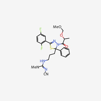 CNC(=NC#N)NCCCC1(c2ccccc2)SC(c2cc(F)ccc2F)=NN1C(=O)C(C)OCOC